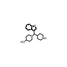 OC1CCN(C(c2csc3ccccc23)C2CCNCC2)CC1